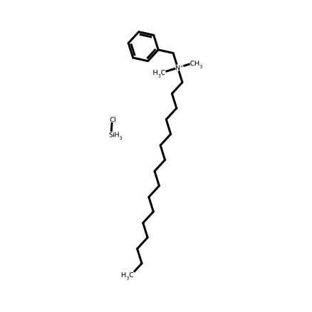 CCCCCCCCCCCCCCCC[N+](C)(C)Cc1ccccc1.[SiH3]Cl